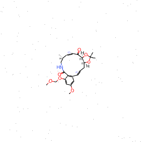 COCOc1cc(OC)cc2c1C(=O)NC[C@H](C)/C=C\C(=O)[C@H]1OC(C)(C)O[C@H]1C/C=C/2